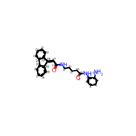 Nc1ccccc1NC(=O)CCCCNC(=O)C=C1c2ccccc2-c2ccccc21